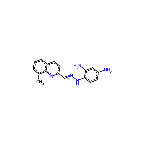 Cc1cccc2ccc(/C=N/Nc3ccc(N)cc3N)nc12